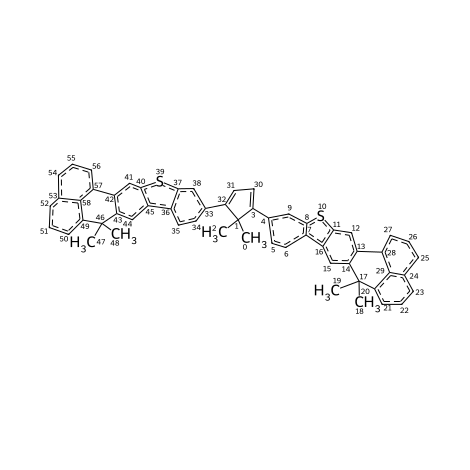 CC1(C)C(c2ccc3c(c2)sc2cc4c(cc23)C(C)(C)c2cccc3cccc-4c23)=CC=C1c1ccc2c(c1)sc1cc3c(cc12)C(C)(C)c1cccc2cccc-3c12